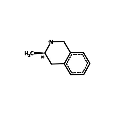 C[C@@H]1Cc2ccccc2C[N]1